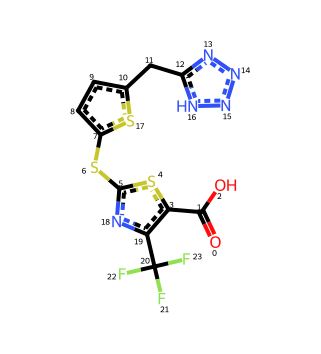 O=C(O)c1sc(Sc2ccc(Cc3nnn[nH]3)s2)nc1C(F)(F)F